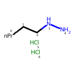 CCCCCNN.Cl.Cl